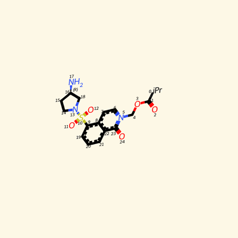 CC(C)C(=O)OCn1ccc2c(S(=O)(=O)N3CC[C@@H](N)C3)cccc2c1=O